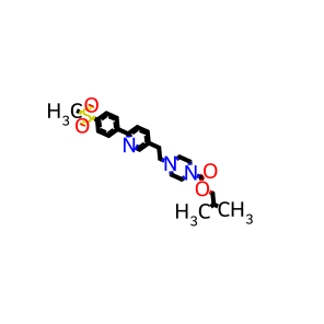 CC(C)COC(=O)N1CCN(CCc2ccc(-c3ccc(S(C)(=O)=O)cc3)nc2)CC1